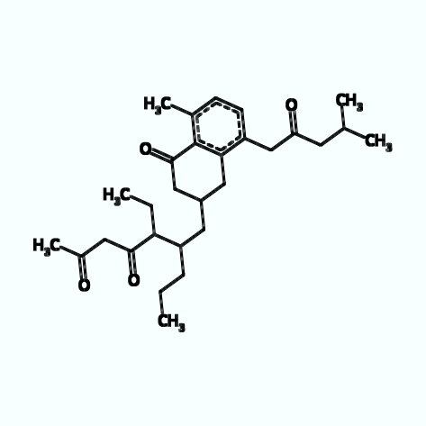 CCCC(CC1CC(=O)c2c(C)ccc(CC(=O)CC(C)C)c2C1)C(CC)C(=O)CC(C)=O